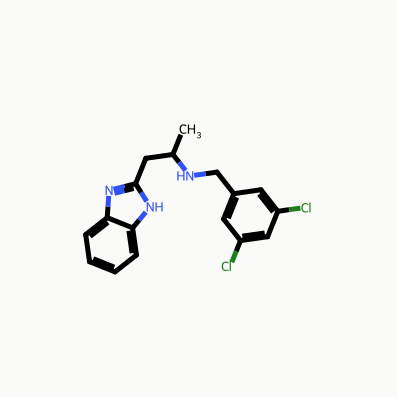 CC(Cc1nc2ccccc2[nH]1)NCc1cc(Cl)cc(Cl)c1